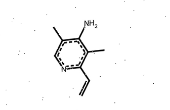 C=Cc1ncc(C)c(N)c1C